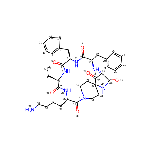 CC(C)C[C@@H](NC(=O)[C@@H](Cc1ccccc1)NC(=O)[C@H](N)Cc1ccccc1)C(=O)N[C@H](CCCCN)C(=O)N1CCC2(CC1)NC(=O)CC2=O